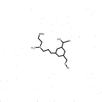 CCOCC1CC(CCCN(C)CCNC)CC(C(O)CC)C1